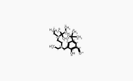 CCN(CCN(CC)C(C)(C)OC)Cc1cc(C(C)(C)C)cc(C=O)c1O